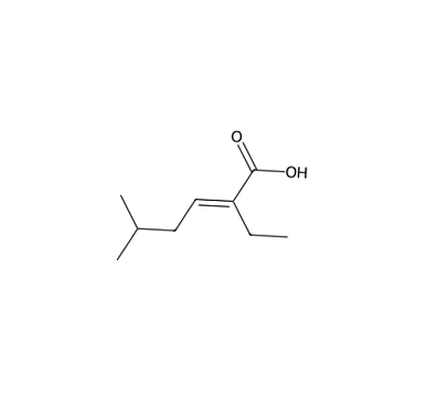 CC/C(=C\CC(C)C)C(=O)O